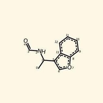 CC(NC=O)c1coc2ccccc12